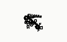 COCC[C@H]1[C@@H]2C(C)CCCN2C(=O)c2c(O)c(=O)c(C(=O)NCc3ccc(F)c(Cl)c3F)cn21